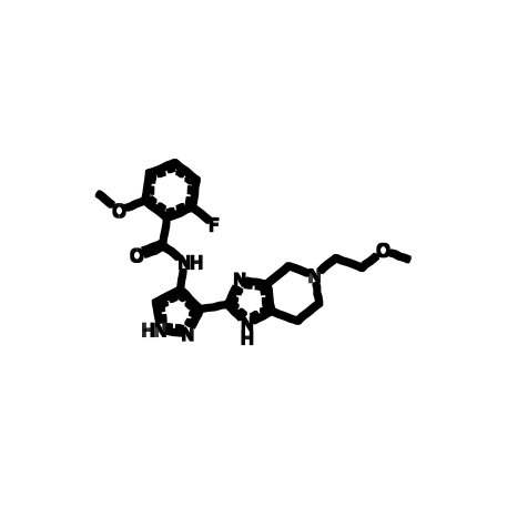 COCCN1CCc2[nH]c(-c3n[nH]cc3NC(=O)c3c(F)cccc3OC)nc2C1